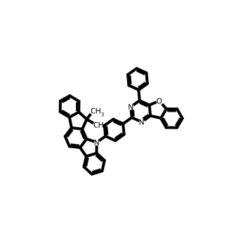 CC1(C)c2ccccc2-c2ccc3c4ccccc4n(-c4ccc(-c5nc(-c6ccccc6)c6oc7ccccc7c6n5)cc4)c3c21